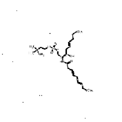 CCCCCCCCCCCC=CCC=CCC(=O)N[C@@H](COP(=O)([O-])OCC[N+](C)(C)C)[C@H](O)CC=CCCCCCCCCCCCC